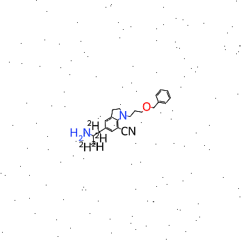 [2H]C([2H])C(N)C([2H])([2H])c1cc(C#N)c2c(c1)CCN2CCCOCc1ccccc1